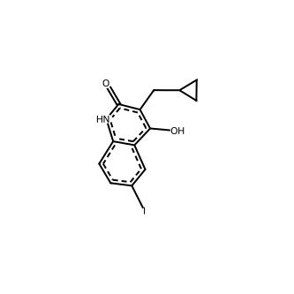 O=c1[nH]c2ccc(I)cc2c(O)c1CC1CC1